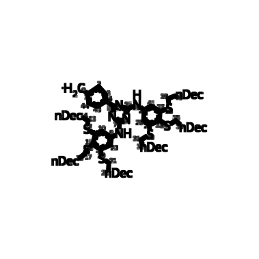 [CH2]c1ccc(-c2nc(Nc3cc(SCCCCCCCCCCC)c(SCCCCCCCCCCC)c(SCCCCCCCCCCC)c3)nc(Nc3cc(SCCCCCCCCCCC)c(SCCCCCCCCCCC)c(SCCCCCCCCCCC)c3)n2)cc1